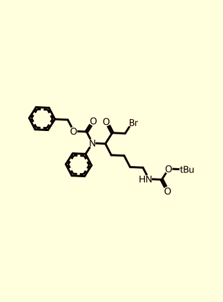 CC(C)(C)OC(=O)NCCCCC(C(=O)CBr)N(C(=O)OCc1ccccc1)c1ccccc1